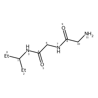 CCC(CC)NC(=O)CNC(=O)CN